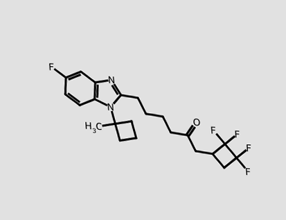 CC1(n2c(CCCCC(=O)CC3CC(F)(F)C3(F)F)nc3cc(F)ccc32)CCC1